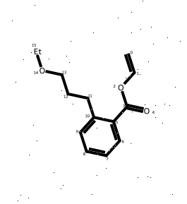 C=COC(=O)c1ccccc1CCCOCC